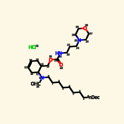 CCCCCCCCCCCCCCCCCCN(C=O)C1CC=CCC1COC(=O)NCCCN1CCOCC1.Cl